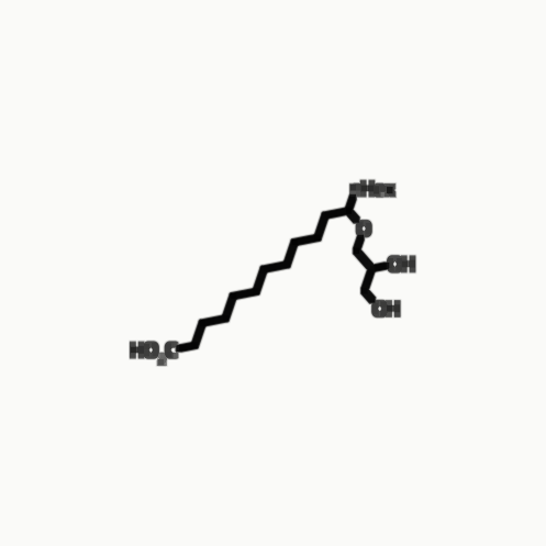 CCCCCCC(CCCCCCCCCCC(=O)O)OCC(O)CO